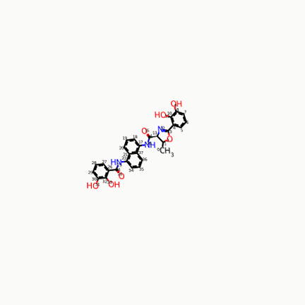 CC1OC(c2cccc(O)c2O)=N[C@@H]1C(=O)Nc1cccc2c(NC(=O)c3cccc(O)c3O)cccc12